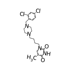 Cc1cn(CCCCN2CCN(Cc3ccc(Cl)cc3Cl)CC2)c(=O)[nH]c1=O